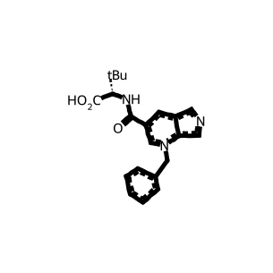 CC(C)(C)[C@H](NC(=O)c1cc2cncc-2n(Cc2ccccc2)c1)C(=O)O